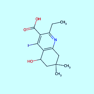 CCc1nc2c(c(I)c1C(=O)O)C(O)CC(C)(C)C2